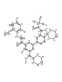 CCN(c1cc(-c2ccc3c(c2)N(C(=O)C(F)(F)F)CC32CCOCC2)cc(C(=O)NCC2=C(C)C=C(C)NC2=C=O)c1C)C1CCOCC1